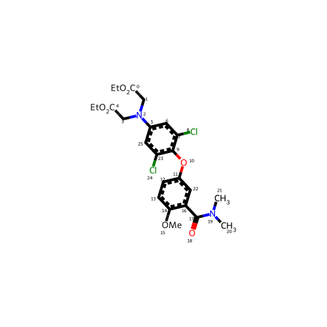 CCOC(=O)CN(CC(=O)OCC)c1cc(Cl)c(Oc2ccc(OC)c(C(=O)N(C)C)c2)c(Cl)c1